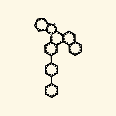 c1ccc(-c2ccc(-c3ccc4c(c3)c3c5ccccc5ccc3c3nc5ccccc5n43)cc2)cc1